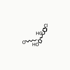 O=CCCCCCC[C@H]1[C@@H](O)CC[C@@H]1/C=C/[C@@H](O)Cc1ccc(Cl)cc1